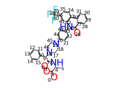 COC(=O)C(C)NC(=O)C(c1ccccc1)N1CCN(c2ccc(NC(=O)c3ccccc3-c3ccc(C(F)(F)F)cc3)cc2)CC1